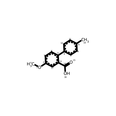 COc1ccc(-c2ccc(C)cc2)c(C(=O)O)c1